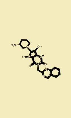 CCn1c(N2CCC[C@@H](N)C2)c(O)c2c1c(=O)n(Cc1ncc3ccccc3n1)c(=O)n2C